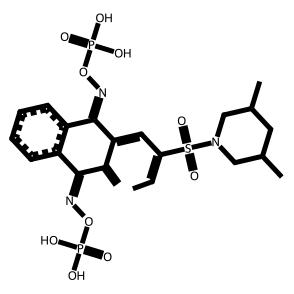 C=C1C(=C\C(=C/C)S(=O)(=O)N2CC(C)CC(C)C2)/C(=N/OP(=O)(O)O)c2ccccc2/C1=N/OP(=O)(O)O